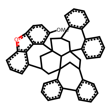 COc1ccc2oc3cccc4c3c2c1C12CC3CC5(CC6CC(CC4C1)(c1ccccc1-c1ccccc16)C52)c1ccccc1-c1ccccc13